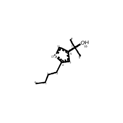 CCCCc1cc(C(C)(C)O)cs1